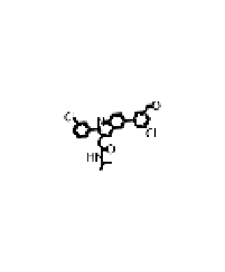 CC(C)NC(=O)Cc1cc2cc(-c3cc(Cl)cc(C=O)c3)ccc2nc1-c1cccc(Cl)c1